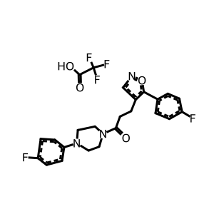 O=C(CCc1cnoc1-c1ccc(F)cc1)N1CCN(c2ccc(F)cc2)CC1.O=C(O)C(F)(F)F